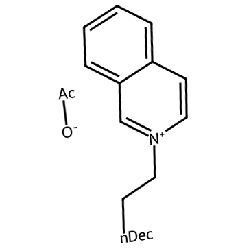 CC(=O)[O-].CCCCCCCCCCCC[n+]1ccc2ccccc2c1